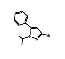 FC(F)n1nc(Br)cc1-c1ccccc1